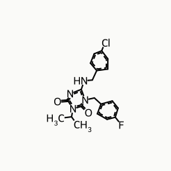 CC(C)n1c(=O)nc(NCc2ccc(Cl)cc2)n(Cc2ccc(F)cc2)c1=O